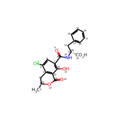 C[C@H]1Cc2c(Cl)cc(C(=O)N[C@H](Cc3ccccc3)C(=O)O)c(O)c2C(=O)O1